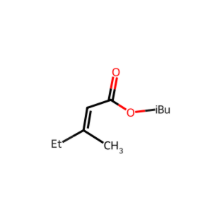 CCC(C)=CC(=O)OC(C)CC